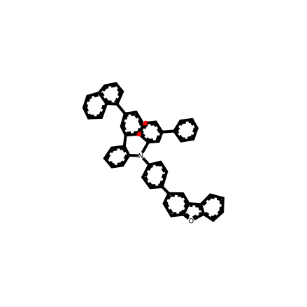 c1ccc(-c2cccc(N(c3ccc(-c4ccc5oc6ccccc6c5c4)cc3)c3ccccc3-c3cccc(-c4cccc5ccccc45)c3)c2)cc1